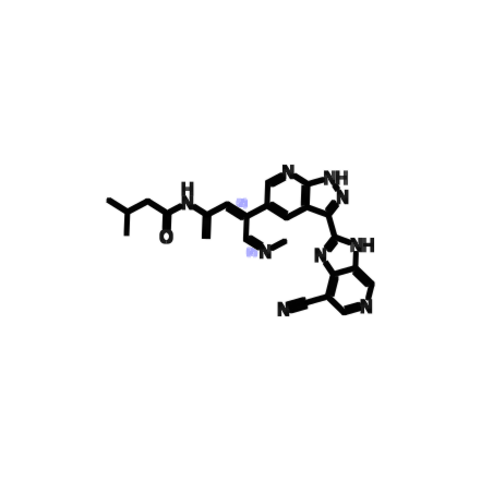 C=C(/C=C(\C=N/C)c1cnc2[nH]nc(-c3nc4c(C#N)cncc4[nH]3)c2c1)NC(=O)CC(C)C